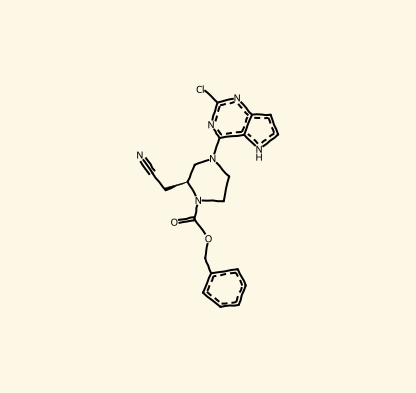 N#CC[C@H]1CN(c2nc(Cl)nc3cc[nH]c23)CCN1C(=O)OCc1ccccc1